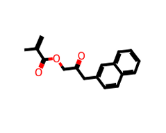 C=C(C)C(=O)OCC(=O)Cc1ccc2ccccc2c1